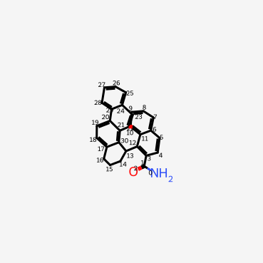 NC(=O)c1ccc2ccccc2c1C1CCCc2ccc3c(ccc4ccccc43)c21